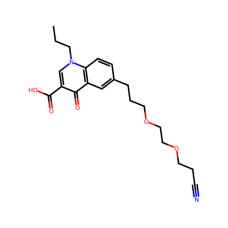 CCCn1cc(C(=O)O)c(=O)c2cc(CCCOCCOCCC#N)ccc21